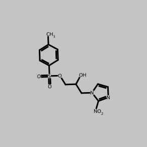 Cc1ccc(S(=O)(=O)OCC(O)Cn2ccnc2[N+](=O)[O-])cc1